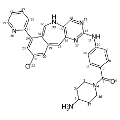 NC1CCN(C(=O)c2ccc(Nc3ncc4c(n3)C=c3cc(Cl)cc(-c5ccccn5)c3=CN4)cc2)CC1